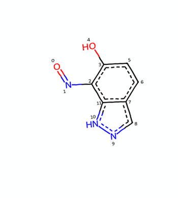 O=Nc1c(O)ccc2cn[nH]c12